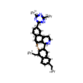 CC(C)Cc1ccc2c(CC(C)C)c3c(cc2c1)-c1nccc2c1c(cc1ccc(-c4nc(C(C)C)nc(C(C)C)n4)cc12)S3